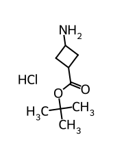 CC(C)(C)OC(=O)C1CC(N)C1.Cl